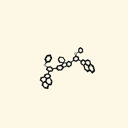 c1ccc(Oc2cc(-c3ccc4c(c3)C3(CCCCC3)c3cc(-c5cc(Oc6ccccc6)cc(-c6cc7ccc8cccc9ccc(c6)c7c89)c5)ccc3-4)cc(-c3cc4ccc5cccc6ccc(c3)c4c56)c2)cc1